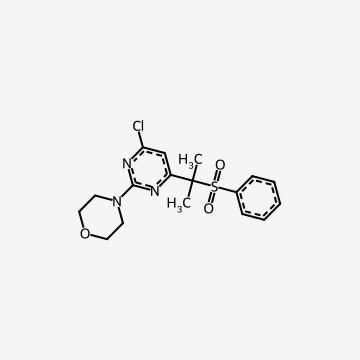 CC(C)(c1cc(Cl)nc(N2CCOCC2)n1)S(=O)(=O)c1ccccc1